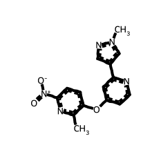 Cc1nc([N+](=O)[O-])ccc1Oc1ccnc(-c2cnn(C)c2)c1